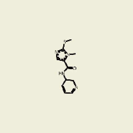 CSc1ncc(C(=O)NC2C=CC=NC2)n1C